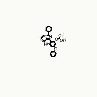 Nc1nccn2c(C3CCCCC3)nc(-c3ccc(Oc4ccccc4)cc3)c12.O=C(O)O